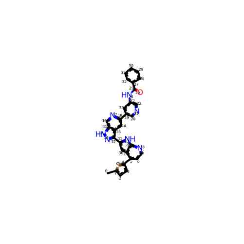 Cc1ccc(-c2ccnc3[nH]c(-c4n[nH]c5cnc(-c6cncc(NC(=O)c7ccccc7)c6)cc45)cc23)s1